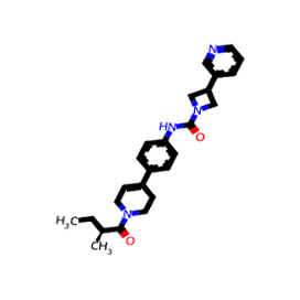 CC[C@H](C)C(=O)N1CC=C(c2ccc(NC(=O)N3CC(c4cccnc4)C3)cc2)CC1